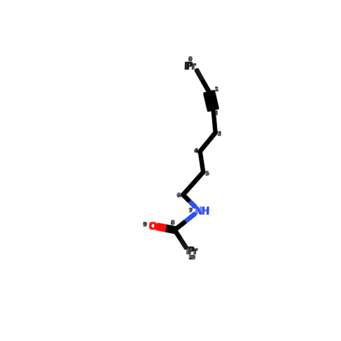 CC(C)C#CCCCCNC(=O)C(C)C